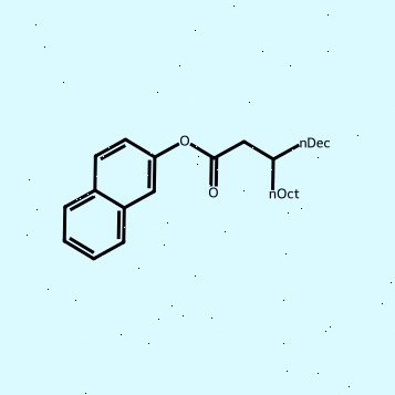 CCCCCCCCCCC(CCCCCCCC)CC(=O)Oc1ccc2ccccc2c1